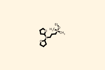 CCO[Si](C)(C)CCCN(C1CCCO1)C1CCCO1